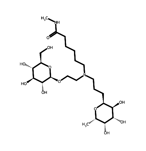 CNC(=O)CCCCCN(CCC[C@@H]1O[C@@H](C)[C@@H](O)[C@@H](O)[C@@H]1O)CCO[C@@H]1O[C@H](CO)[C@@H](O)[C@H](O)[C@H]1O